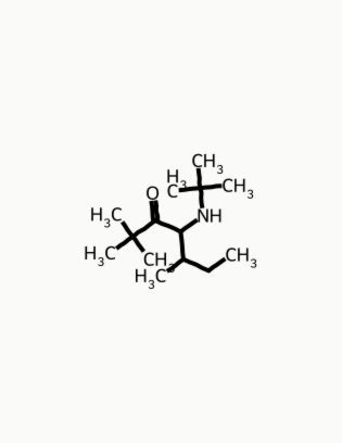 CCC(C)C(NC(C)(C)C)C(=O)C(C)(C)C